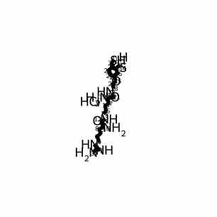 Cl.N=C(N)NCCCC[C@@H](N)C(=O)NCCCC[C@@H](N)C(=O)NCCOc1ccc(CS)c(CS)c1